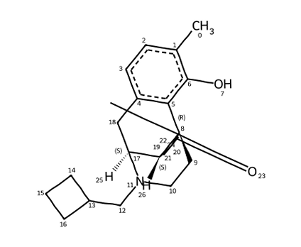 Cc1ccc2c(c1O)[C@@]13CCN(CC4CCC4)[C@@H](C2)[C@H]1CCC(=O)C3